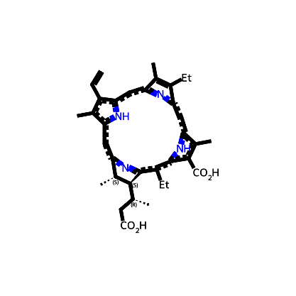 C=Cc1c(C)c2cc3nc(c(CC)c4[nH]c(cc5nc(cc1[nH]2)C(C)=C5CC)c(C)c4C(=O)O)[C@@H]([C@H](C)CC(=O)O)[C@@H]3C